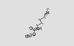 C/N=C/CCCCNC(=O)OC(C)(C)C